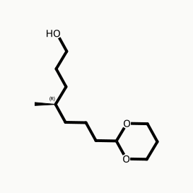 C[C@@H](CCCO)CCCC1OCCCO1